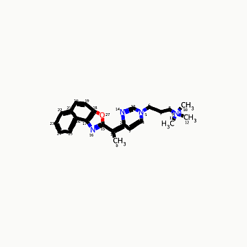 CC(=C1C=CN(CCC[N+](C)(C)C)C=N1)c1nc2c(ccc3ccccc32)o1